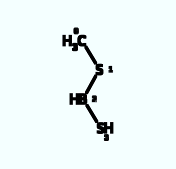 CSBS